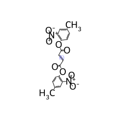 Cc1ccc(OC(=O)/C=C/C(=O)Oc2ccc(C)cc2[N+](=O)[O-])c([N+](=O)[O-])c1